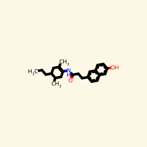 CCCC1CC(C)=C(NC(=O)CCc2ccc3cc(O)ccc3c2)CC1C